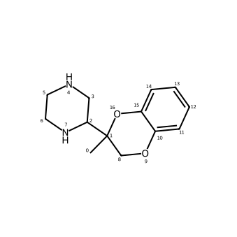 CC1(C2CNCCN2)COc2ccccc2O1